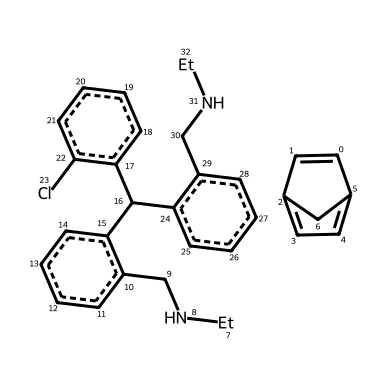 C1=CC2=CC=C1C2.CCNCc1ccccc1C(c1ccccc1Cl)c1ccccc1CNCC